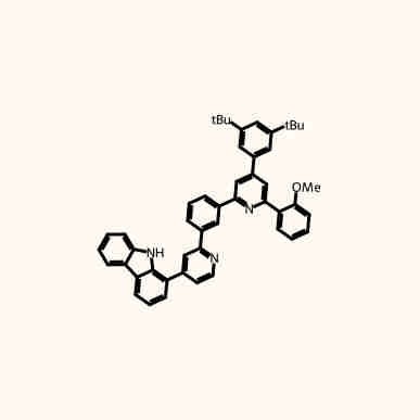 COc1ccccc1-c1cc(-c2cc(C(C)(C)C)cc(C(C)(C)C)c2)cc(-c2cccc(-c3cc(-c4cccc5c4[nH]c4ccccc45)ccn3)c2)n1